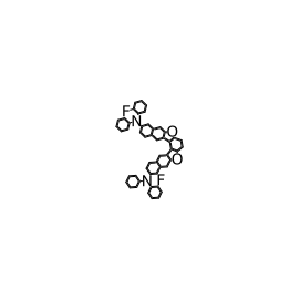 Fc1ccccc1N(c1ccccc1)c1ccc2cc3c(cc2c1)oc1ccc2oc4cc5cc(N(c6ccccc6)c6ccccc6F)ccc5cc4c2c13